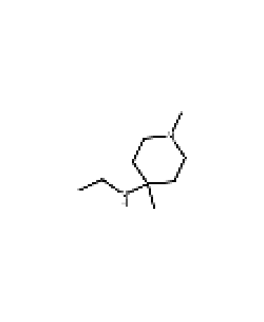 CCNC1(C)CCN(C)CC1